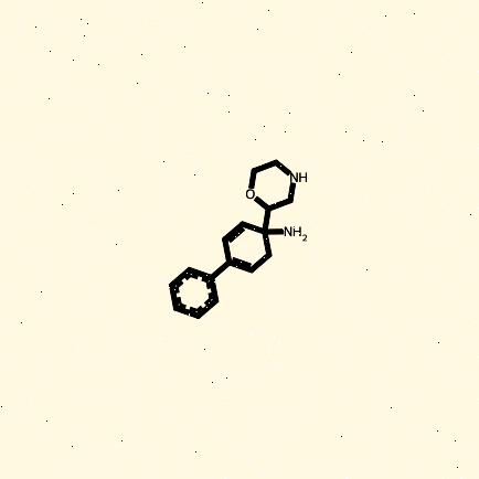 NC1(C2CNCCO2)C=CC(c2ccccc2)=CC1